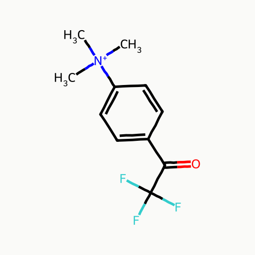 C[N+](C)(C)c1ccc(C(=O)C(F)(F)F)cc1